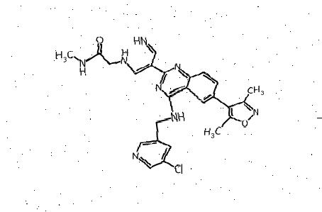 CNC(=O)CN/C=C(\C=N)c1nc(NCc2cncc(Cl)c2)c2cc(-c3c(C)noc3C)ccc2n1